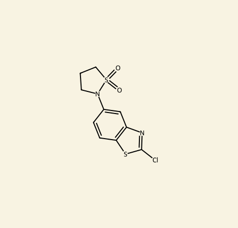 O=S1(=O)CCCN1c1ccc2sc(Cl)nc2c1